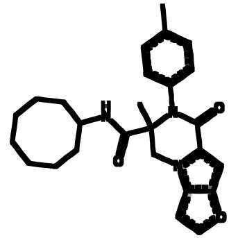 Cc1ccc(N2C(=O)c3cc4occc4n3CC2(C)C(=O)NC2CCCCCCC2)cc1